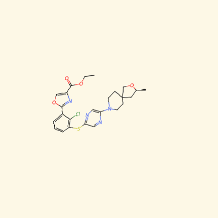 CCOC(=O)c1coc(-c2cccc(Sc3cnc(N4CCC5(CC4)CO[C@@H](C)C5)cn3)c2Cl)n1